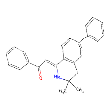 CC1(C)Cc2cc(-c3ccccc3)ccc2C(=CC(=O)c2ccccc2)N1